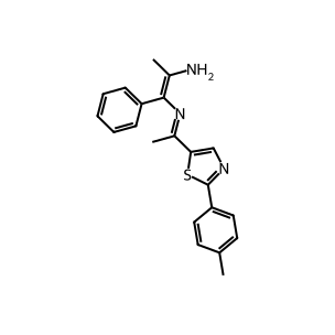 C/C(N)=C(/N=C(\C)c1cnc(-c2ccc(C)cc2)s1)c1ccccc1